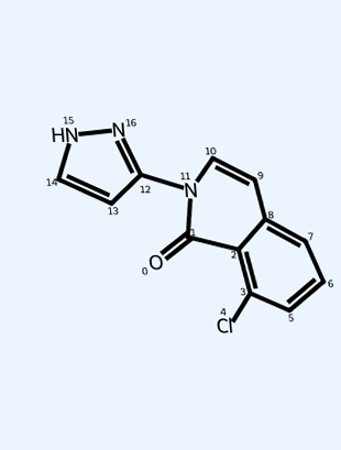 O=c1c2c(Cl)cccc2ccn1-c1cc[nH]n1